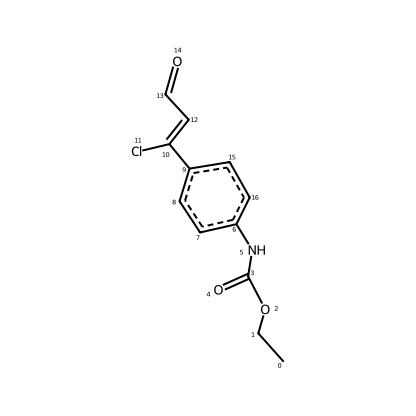 CCOC(=O)Nc1ccc(C(Cl)=CC=O)cc1